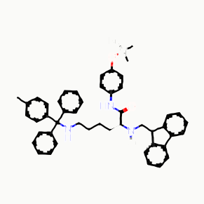 Cc1ccc(C(NCCCC[C@@H](C(=O)Nc2ccc(O[Si](C)(C)C(C)(C)C)cc2)N(CC2c3ccccc3-c3ccccc32)C(=O)O)(c2ccccc2)c2ccccc2)cc1